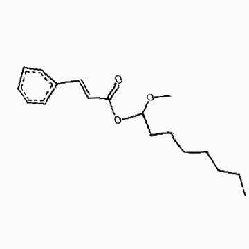 CCCCCCCC(OC)OC(=O)C=Cc1ccccc1